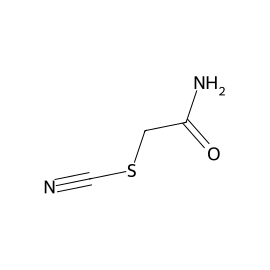 N#CSCC(N)=O